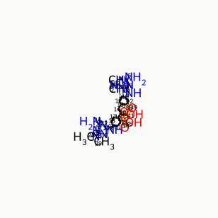 CN(C)c1nc(N)nc(Nc2ccc(/C=C/c3ccc(Nc4nc(N)nc(N(C)C)n4)cc3S(=O)(=O)O)c(S(=O)(=O)O)c2)n1